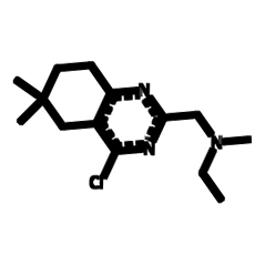 CCN(C)Cc1nc(Cl)c2c(n1)CCC(C)(C)C2